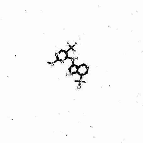 CSc1ncc(C(F)(F)F)c(Nc2c[nH]c3c(P(C)(C)=O)cccc23)n1